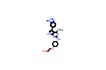 COc1nc(N[C@H]2CC[C@H](OCCO)CC2)nc2[nH]cc(-c3ccc4nnn(C)c4c3)c12